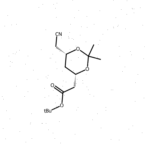 CC(C)(C)OC(=O)C[C@@H]1C[C@H](CC#N)OC(C)(C)O1